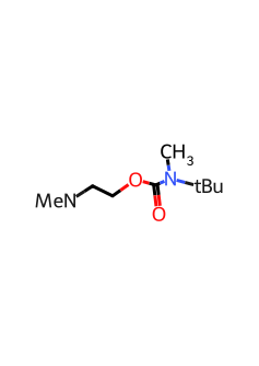 CNCCOC(=O)N(C)C(C)(C)C